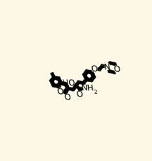 Cc1ccc2oc(=O)c(CC(O)(CCc3ccc(OCCN4CCOCC4)cc3)C(N)=O)cc2c1